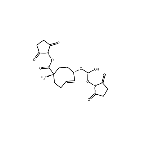 C[C@]1(C(=O)ON2C(=O)CCC2=O)CC/C=C/[C@@H](OC(O)ON2C(=O)CCC2=O)CC1